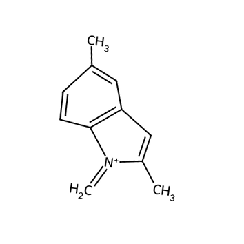 C=[N+]1C(C)=Cc2cc(C)ccc21